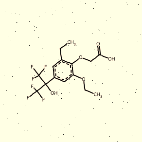 CCOc1cc(C(O)(C(F)(F)F)C(F)(F)F)cc(CC)c1OCC(=O)O